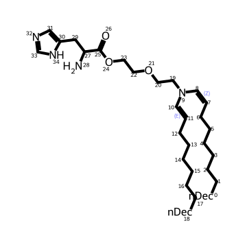 CCCCCCCCCCCCCCCC/C=C\N(/C=C/CCCCCCCCCCCCCCCC)CCOCCOC(=O)C(N)Cc1cnc[nH]1